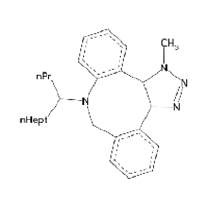 CCCCCCCC(CCC)N1Cc2ccccc2C2N=NN(C)C2c2ccccc21